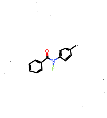 [CH2]c1ccc(N(F)C(=O)c2ccccc2)cc1